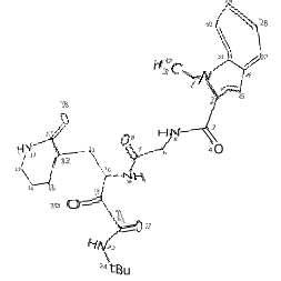 Cn1c(C(=O)NCC(=O)NC(CC2CCCNC2=O)C(=O)C(=O)NC(C)(C)C)cc2ccccc21